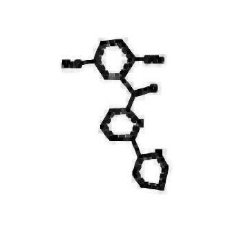 COc1ccc(OC)c(C(=O)c2cccc(-c3ccccn3)n2)c1